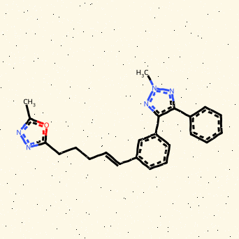 Cc1nnc(CCC/C=C/c2cccc(-c3nn(C)nc3-c3ccccc3)c2)o1